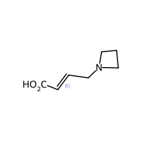 O=C(O)/C=C/CN1CCC1